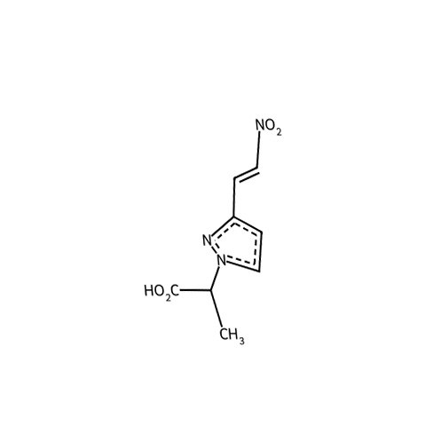 CC(C(=O)O)n1ccc(/C=C/[N+](=O)[O-])n1